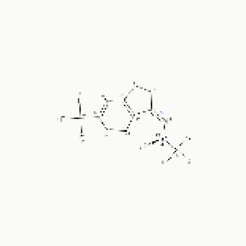 CC(C)(C)[S@@+]([O-])/N=C1/CCc2nc(C(F)(F)F)ccc21